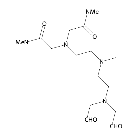 CNC(=O)CN(CCN(C)CCN(CC=O)CC=O)CC(=O)NC